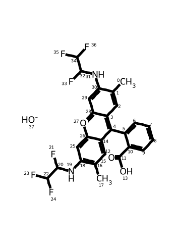 Cc1cc2c(-c3ccccc3C(=O)O)c3cc(C)c(NC(F)C(F)F)cc3[o+]c2cc1NC(F)C(F)F.[OH-]